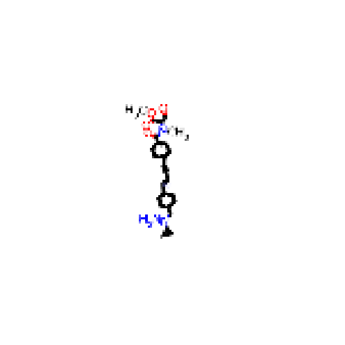 COC(=O)C(C=O)N(C)C(=O)c1ccc(C#C/C=C/c2ccc(CN(N)C3CC3)cc2)cc1